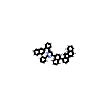 CC1(C)c2c(cccc2-c2ccc(-c3cc(-c4ccccc4-c4ccc5ccccc5c4)nc(-c4ccccc4)n3)c3ccccc23)-c2ccc3ccccc3c21